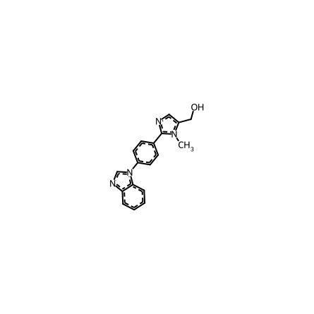 Cn1c(CO)cnc1-c1ccc(-n2cnc3ccccc32)cc1